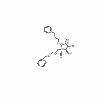 N#C[C@]1(COCOCc2ccccc2)/C(=C/F)[C@H](O)[C@H](O)[C@@H]1OCOCc1ccccc1